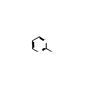 O=[N+]([O-])C1=[N+]C=CC=N1